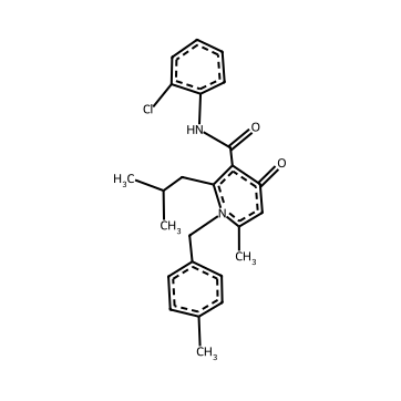 Cc1ccc(Cn2c(C)cc(=O)c(C(=O)Nc3ccccc3Cl)c2CC(C)C)cc1